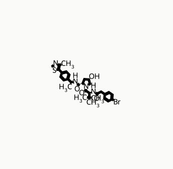 Cc1ncsc1-c1ccc([C@H](C)NC(=O)[C@@H]2C[C@@H](O)CN2C(=O)[C@@H](NC(=O)Cc2ccc(Br)cc2)C(C)(C)C)cc1